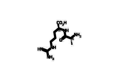 C[C@@H](N)C(=O)N[C@@H](CCCNC(=N)N)C(=O)O